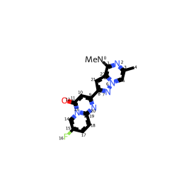 CNc1nc(C)cn2nc(-c3cc(=O)n4cc(F)ccc4n3)cc12